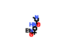 CCN1C(=O)C(C)(C)c2ccc(NC(=O)c3ccnc(C)c3)cc21